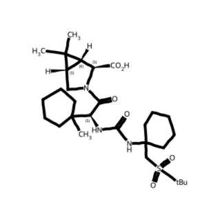 CC1([C@H](NC(=O)NC2(CS(=O)(=O)C(C)(C)C)CCCCC2)C(=O)N2C[C@H]3[C@@H]([C@H]2C(=O)O)C3(C)C)CCCCC1